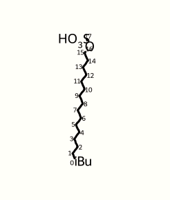 CCC(C)CCCCCCCCCCCCCCCOS(=O)(=O)O